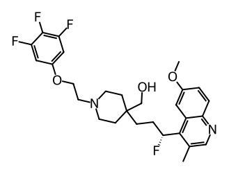 COc1ccc2ncc(C)c([C@H](F)CCC3(CO)CCN(CCOc4cc(F)c(F)c(F)c4)CC3)c2c1